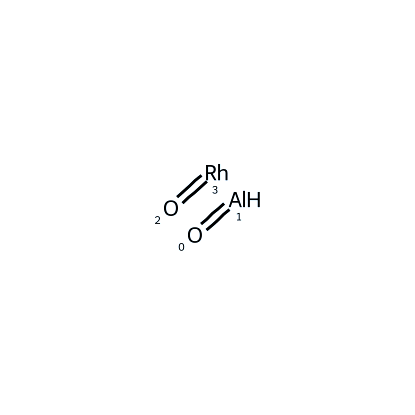 [O]=[AlH].[O]=[Rh]